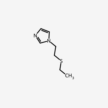 CCSCCn1ccnc1